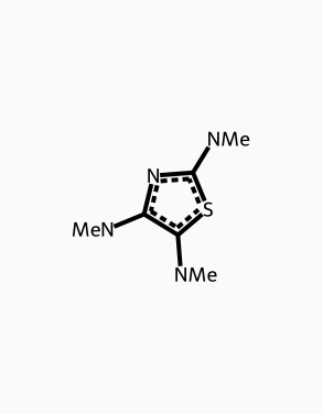 CNc1nc(NC)c(NC)s1